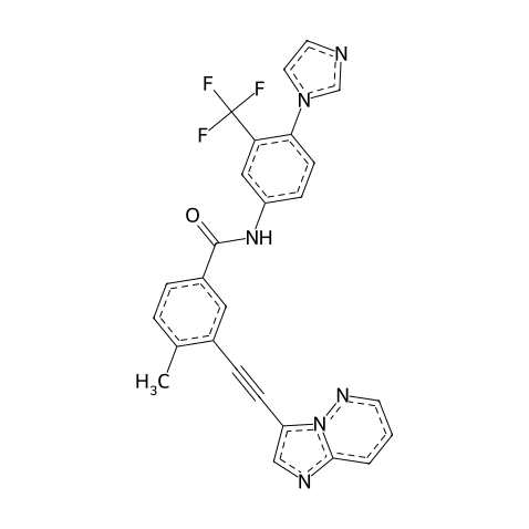 Cc1ccc(C(=O)Nc2ccc(-n3ccnc3)c(C(F)(F)F)c2)cc1C#Cc1cnc2cccnn12